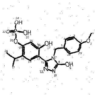 COc1ccc(Cn2c(O)nnc2-c2cc(C(C)C)c(OP(=O)(O)O)cc2O)cc1